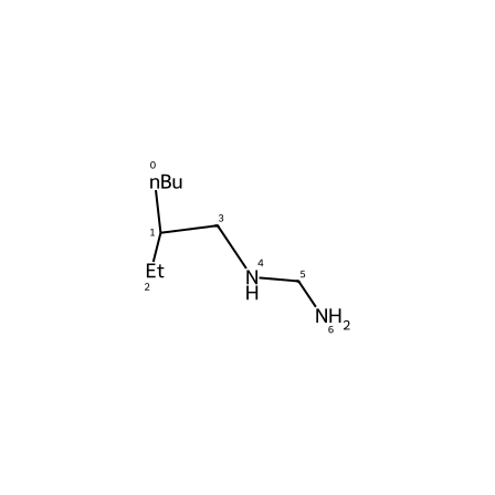 CCCCC(CC)CNCN